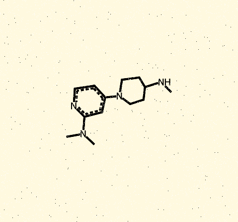 CNC1CCN(c2ccnc(N(C)C)c2)CC1